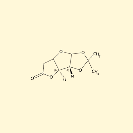 CC1(C)OC2OC3CC(=O)O[C@@H]3[C@H]2O1